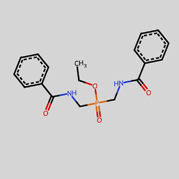 CCOP(=O)(CNC(=O)c1ccccc1)CNC(=O)c1ccccc1